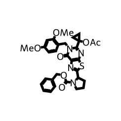 COc1ccc(Cn2c(C3(OC(C)=O)CC3)nc3sc(C4CCCN4C(=O)OCc4ccccc4)nc3c2=O)c(OC)c1